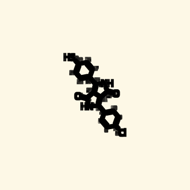 O=C1NC(c2ccc(Cl)cc2)=C2C(=O)NC(c3ccc(S)cc3)=C12